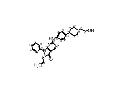 C=CCn1c(=O)c2cnc(Nc3ccc(C4CCN(CCO)CC4)cc3)nc2n1-c1ccccn1